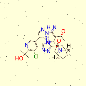 CC(=O)c1c([C@@H]2C[C@H]3CC[C@@H](C2)N3C(=O)c2nnc[nH]2)nc2c(-c3cnc(C(C)(C)O)c(Cl)c3)cnn2c1N